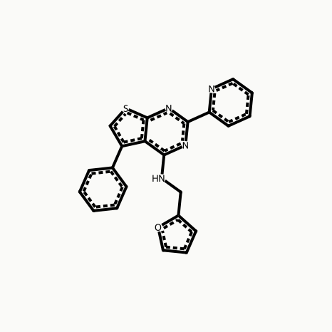 c1ccc(-c2csc3nc(-c4ccccn4)nc(NCc4ccco4)c23)cc1